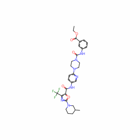 CCOC(=O)c1cccc(NC(=O)N2CCN(c3ccc(NC(=O)c4oc(N5CCCC(C)C5)nc4C(F)(F)F)cn3)CC2)c1